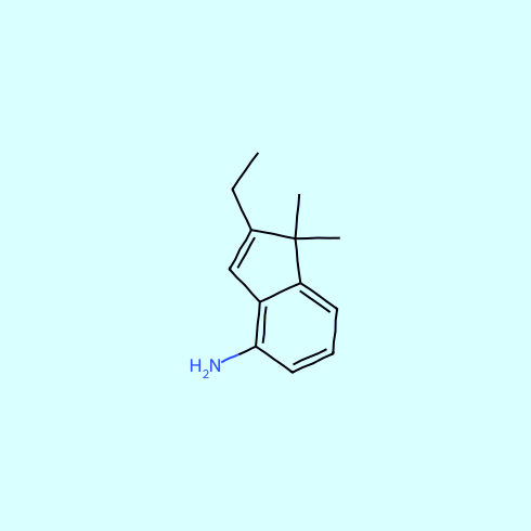 CCC1=Cc2c(N)cccc2C1(C)C